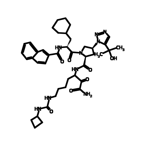 CC(C)(O)c1cnnn1[C@H]1C[C@@H](C(=O)NC(CCCCNC(=O)NC2CCC2)C(=O)C(N)=O)N(C(=O)[C@@H](CC2CCCCC2)NC(=O)c2ccc3ccccc3c2)C1